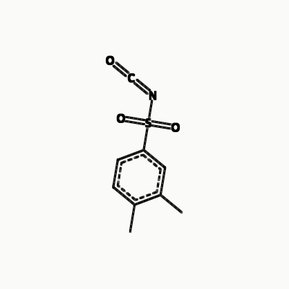 Cc1ccc(S(=O)(=O)N=C=O)cc1C